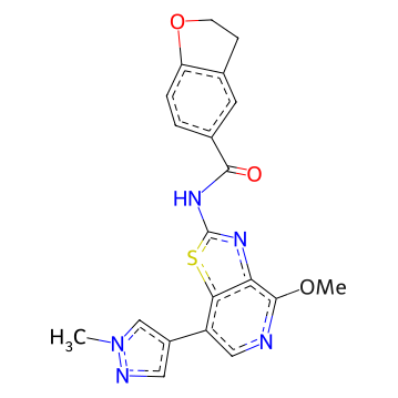 COc1ncc(-c2cnn(C)c2)c2sc(NC(=O)c3ccc4c(c3)CCO4)nc12